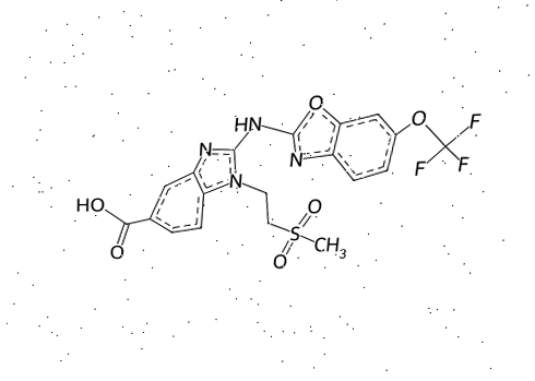 CS(=O)(=O)CCn1c(Nc2nc3ccc(OC(F)(F)F)cc3o2)nc2cc(C(=O)O)ccc21